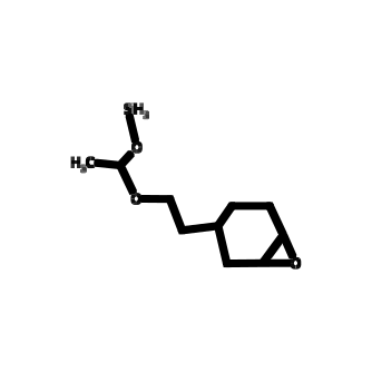 CC(O[SiH3])OCCC1CCC2OC2C1